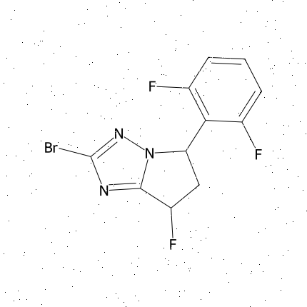 Fc1cccc(F)c1C1CC(F)c2nc(Br)nn21